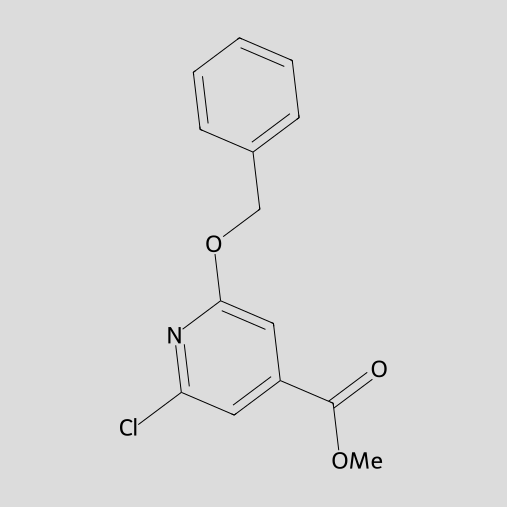 COC(=O)c1cc(Cl)nc(OCc2ccccc2)c1